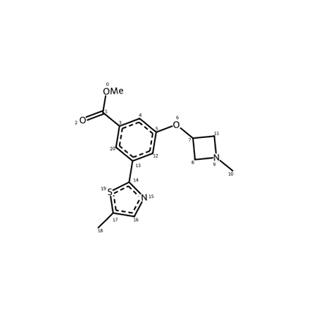 COC(=O)c1cc(OC2CN(C)C2)cc(-c2ncc(C)s2)c1